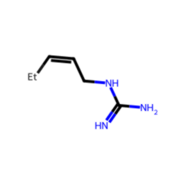 CC/C=C\CNC(=N)N